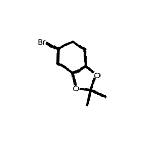 CC1(C)OC2CCC(Br)CC2O1